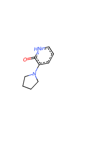 O=c1[nH]cccc1N1CCCC1